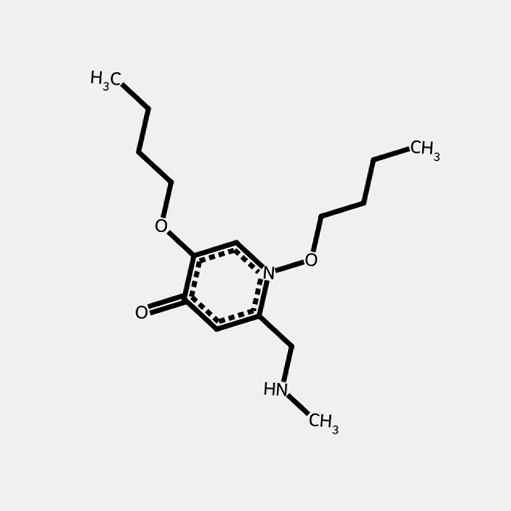 CCCCOc1cn(OCCCC)c(CNC)cc1=O